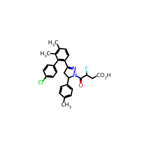 Cc1ccc(C2CC(c3ccc(C)c(C)c3-c3ccc(Cl)cc3)=NN2C(=O)C(F)CC(=O)O)cc1